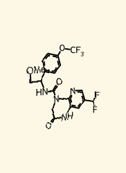 COCC(NC(=O)N1CC(=O)Nc2cc(C(F)F)cnc21)c1ccc(OC(F)(F)F)cc1